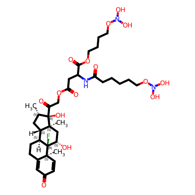 C[C@H]1C[C@H]2[C@@H]3CCC4=CC(=O)C=C[C@]4(C)[C@@]3(F)[C@@H](O)C[C@]2(C)[C@@]1(O)C(=O)COC(=O)CC(NC(=O)CCCCCON(O)O)C(=O)OCCCCON(O)O